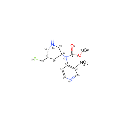 CC(C)(C)OC(=O)N(c1ccncc1[N+](=O)[O-])C1CNCC(CF)C1